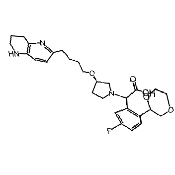 O=C(O)C(c1cc(F)ccc1C1COCCO1)N1CC[C@@H](OCCCCc2ccc3c(n2)CCCN3)C1